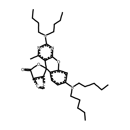 CCCCCN(CCCCC)c1ccc2c(c1)Oc1nc(N(CCCC)CCCC)nc(C)c1C21OC(=O)c2ccccc21